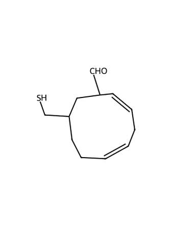 O=CC1C=CCC=CCCC(CS)C1